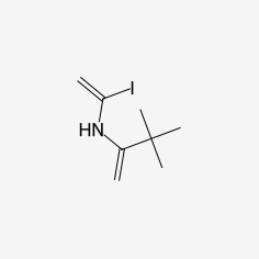 C=C(I)NC(=C)C(C)(C)C